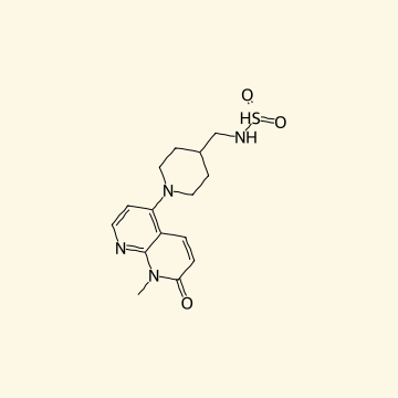 Cn1c(=O)ccc2c(N3CCC(CN[SH](=O)=O)CC3)ccnc21